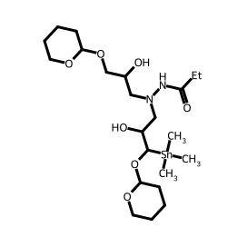 CCC(=O)NN(CC(O)COC1CCCCO1)CC(O)[CH](OC1CCCCO1)[Sn]([CH3])([CH3])[CH3]